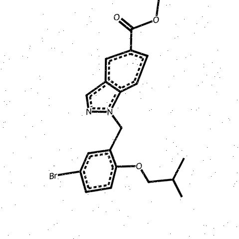 COC(=O)c1ccc2c(cnn2Cc2cc(Br)ccc2OCC(C)C)c1